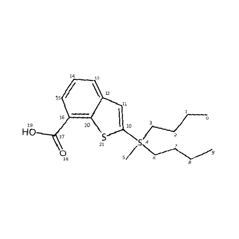 CCCCS(C)(CCCC)c1cc2cccc(C(=O)O)c2s1